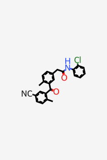 Cc1ccc(C#N)cc1C(=O)c1cc(CC(=O)Nc2ccccc2Cl)ccc1C